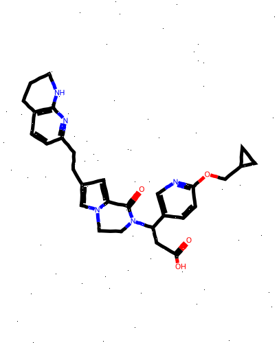 O=C(O)CC(c1ccc(OCC2CC2)nc1)N1CCn2cc(CCc3ccc4c(n3)NCCC4)cc2C1=O